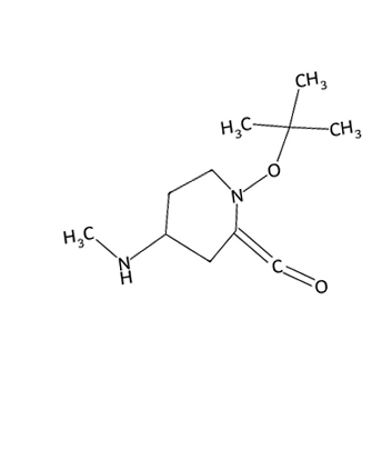 CNC1CCN(OC(C)(C)C)C(=C=O)C1